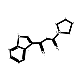 O=C(CC(=O)N1CCCC1)c1csc2ccccc12